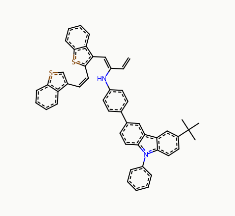 C=C/C(=C/c1c(/C=C\c2csc3ccccc23)sc2ccccc12)Nc1ccc(-c2ccc3c(c2)c2cc(C(C)(C)C)ccc2n3-c2ccccc2)cc1